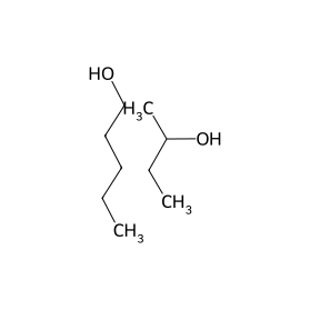 CCC(C)O.CCCCCO